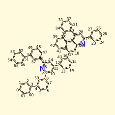 c1ccc(-c2cccc(-c3cc(-c4cccc(-c5cc6nc(-c7ccccc7)cc(-c7ccccc7)c6c6ccccc56)c4)cc(-c4cccc(-c5ccccc5)c4)n3)c2)cc1